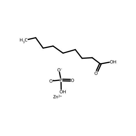 CCCCCCCCC(=O)O.O=P([O-])([O-])O.[Zn+2]